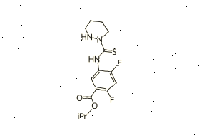 CC(C)OC(=O)c1cc(NC(=S)N2CCCCN2)c(F)cc1F